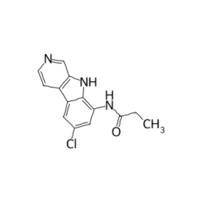 CCC(=O)Nc1cc(Cl)cc2c1[nH]c1cnccc12